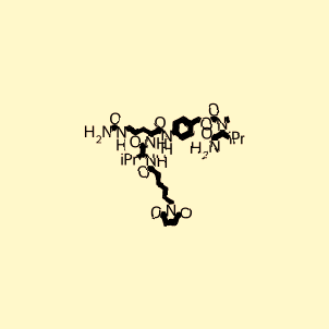 CC(C)C(NC(=O)CCCCCN1C(=O)C=CC1=O)C(=O)NC(CCCNC(N)=O)C(=O)Nc1ccc(COC(=O)N(C)C(C(N)=O)C(C)C)cc1